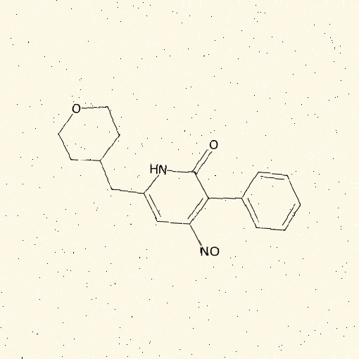 O=Nc1cc(CC2CCOCC2)[nH]c(=O)c1-c1ccccc1